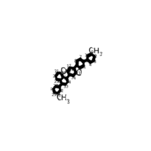 Cc1cccc(-c2ccc3c(c2)oc2cc4c(cc23)Oc2cccc3c(-c5cccc(C)c5)ccc-4c23)c1